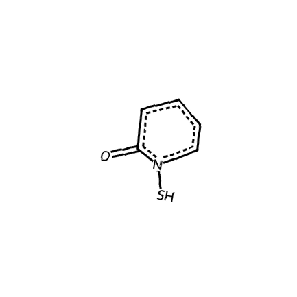 O=c1ccccn1S